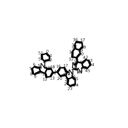 c1ccc(-n2c3ccccc3c3ccc(-c4ccc5c(c4)c4ccccc4n5-c4nc(-c5ccc6ccccc6c5)c5ccccc5n4)cc32)cc1